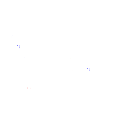 CN1CCc2ccccc2C1S(=O)(=O)C1=CC=C(N=[N+]=[N-])C(=C=O)C1